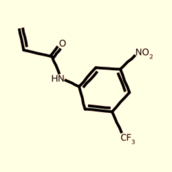 C=CC(=O)Nc1cc([N+](=O)[O-])cc(C(F)(F)F)c1